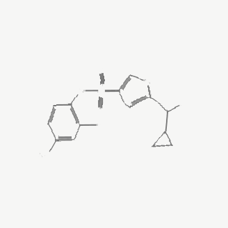 N#Cc1ccc(NS(=O)(=O)c2c[nH]c(C(O)C3CC3)c2)c(F)c1